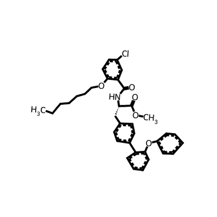 CCCCCCCOc1ccc(Cl)cc1C(=O)N[C@@H](Cc1ccc(-c2ccccc2Oc2ccccc2)cc1)C(=O)OC